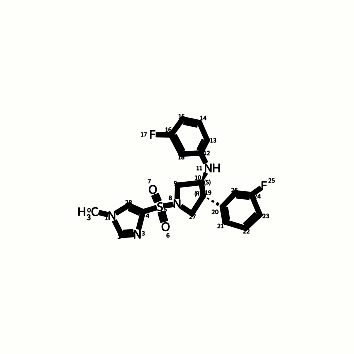 Cn1cnc(S(=O)(=O)N2C[C@@H](Nc3cccc(F)c3)[C@H](c3cccc(F)c3)C2)c1